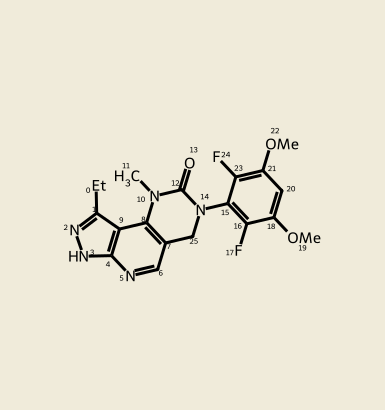 CCc1n[nH]c2ncc3c(c12)N(C)C(=O)N(c1c(F)c(OC)cc(OC)c1F)C3